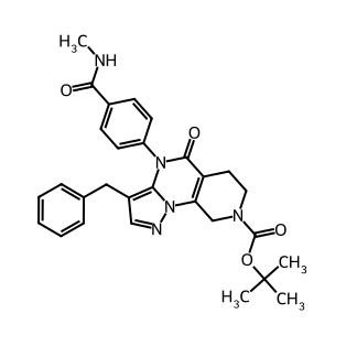 CNC(=O)c1ccc(-n2c(=O)c3c(n4ncc(Cc5ccccc5)c24)CN(C(=O)OC(C)(C)C)CC3)cc1